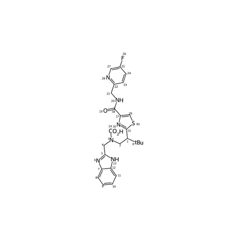 CC(C)(C)C(CN(Cc1nc2ccccc2[nH]1)C(=O)O)c1nc(C(=O)NCc2ccc(F)cn2)cs1